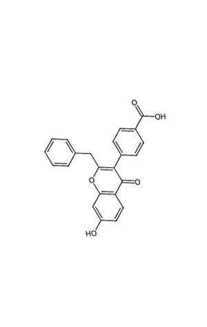 O=C(O)c1ccc(-c2c(Cc3ccccc3)oc3cc(O)ccc3c2=O)cc1